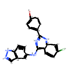 Clc1ccc2c(Nc3ccc4[nH]ncc4c3)nc(-c3ccc(Br)cc3)nc2c1